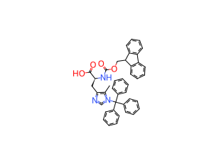 Cc1c(C[C@H](NC(=O)OCC2c3ccccc3-c3ccccc32)C(=O)O)ncn1C(c1ccccc1)(c1ccccc1)c1ccccc1